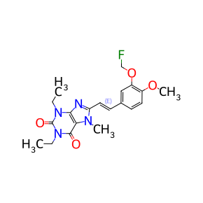 CCn1c(=O)c2c(nc(/C=C/c3ccc(OC)c(OCF)c3)n2C)n(CC)c1=O